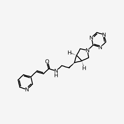 O=C(/C=C/c1cccnc1)NCC[C@H]1[C@H]2CN(c3ncncn3)C[C@@H]12